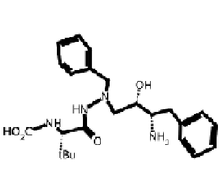 CC(C)(C)[C@H](NC(=O)O)C(=O)NN(Cc1ccccc1)C[C@H](O)[C@@H](N)Cc1ccccc1